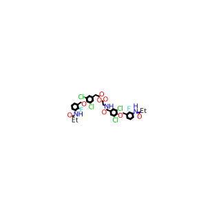 CCC(=O)Nc1cccc(COc2c(Cl)cc(CC(=O)OC(=O)CNC(=O)c3cc(Cl)c(OCc4cccc(NC(=O)CC)c4F)c(Cl)c3)cc2Cl)c1F